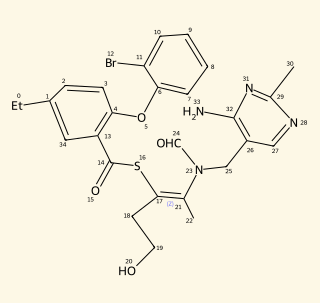 CCc1ccc(Oc2ccccc2Br)c(C(=O)S/C(CCO)=C(/C)N(C=O)Cc2cnc(C)nc2N)c1